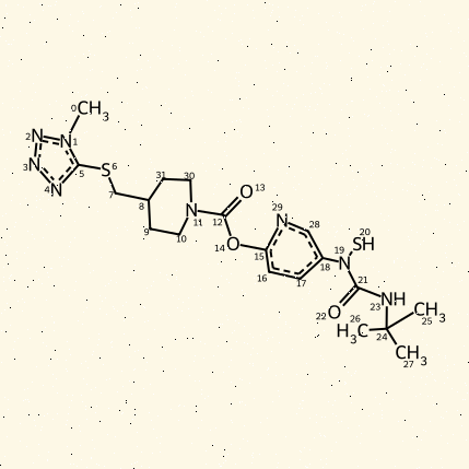 Cn1nnnc1SCC1CCN(C(=O)Oc2ccc(N(S)C(=O)NC(C)(C)C)cn2)CC1